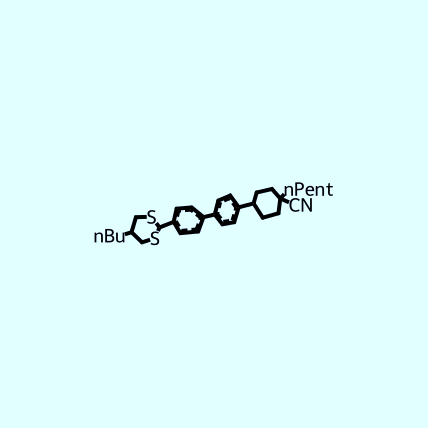 CCCCCC1(C#N)CCC(c2ccc(-c3ccc(C4SCC(CCCC)CS4)cc3)cc2)CC1